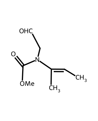 CC=C(C)N(CC=O)C(=O)OC